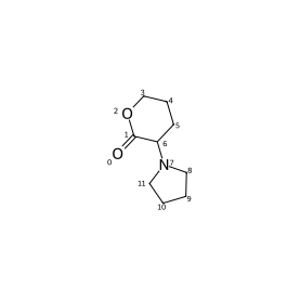 O=C1OCCCC1N1CCCC1